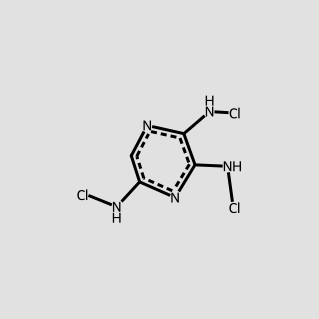 ClNc1cnc(NCl)c(NCl)n1